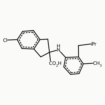 Cc1cccc(NC2(C(=O)O)Cc3ccc(Cl)cc3C2)c1CC(C)C